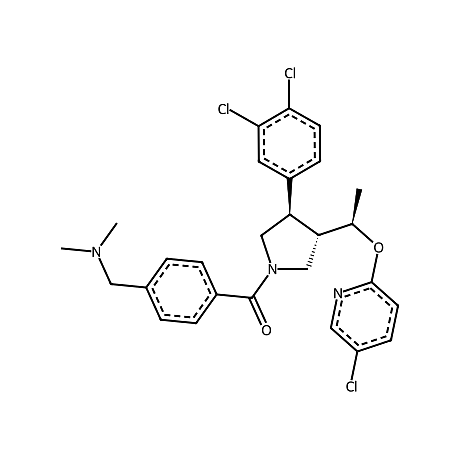 C[C@@H](Oc1ccc(Cl)cn1)[C@@H]1CN(C(=O)c2ccc(CN(C)C)cc2)C[C@H]1c1ccc(Cl)c(Cl)c1